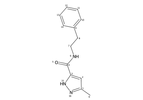 Cc1cc(C(=O)NCCc2ccccc2)[nH]n1